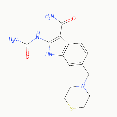 NC(=O)Nc1[nH]c2cc(CN3CCSCC3)ccc2c1C(N)=O